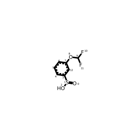 O=S(O)c1cccc(OC(F)F)c1